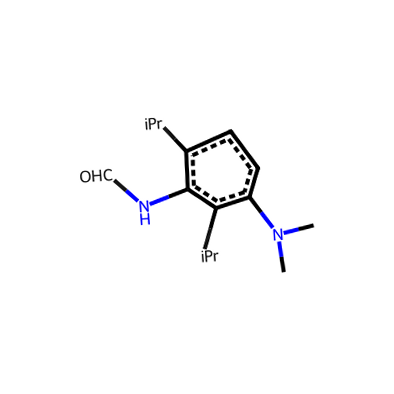 CC(C)c1ccc(N(C)C)c(C(C)C)c1NC=O